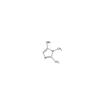 CCCCc1cnc(C)n1C